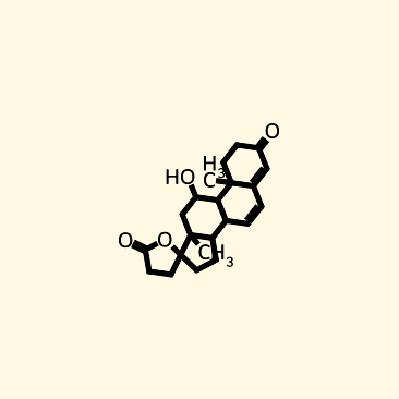 CC12CCC(=O)C=C1C=CC1C2C(O)CC2(C)C1CCC21CCC(=O)O1